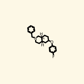 Fc1ccc(OC2CC[C@H]3CN(Cc4ccccc4)CC[C@H]3C2)cc1